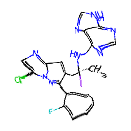 C[C@@](I)(Nc1ncnc2[nH]cnc12)c1cc2ncc(Cl)n2nc1-c1ccccc1F